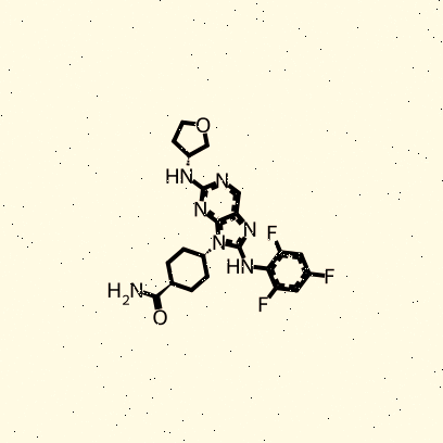 NC(=O)[C@H]1CC[C@H](n2c(Nc3c(F)cc(F)cc3F)nc3cnc(N[C@@H]4CCOC4)nc32)CC1